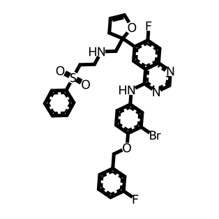 O=S(=O)(CCNCC1(c2cc3c(Nc4ccc(OCc5cccc(F)c5)c(Br)c4)ncnc3cc2F)CC=CO1)c1ccccc1